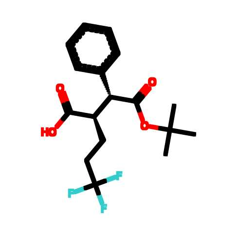 CC(C)(C)OC(=O)[C@@H](c1ccccc1)[C@@H](CCC(F)(F)F)C(=O)O